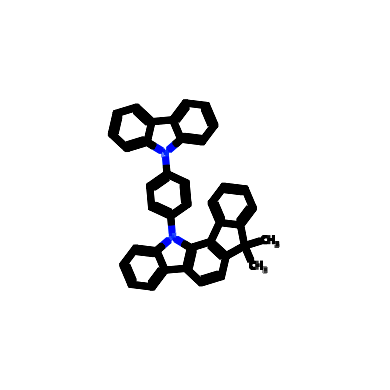 CC1(C)c2ccccc2-c2c1ccc1c3ccccc3n(-c3ccc(-n4c5ccccc5c5ccccc54)cc3)c21